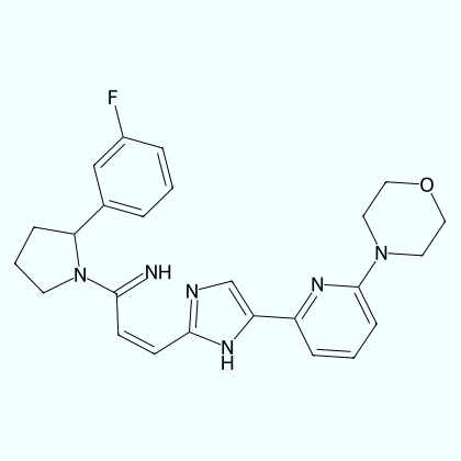 N=C(/C=C\c1ncc(-c2cccc(N3CCOCC3)n2)[nH]1)N1CCCC1c1cccc(F)c1